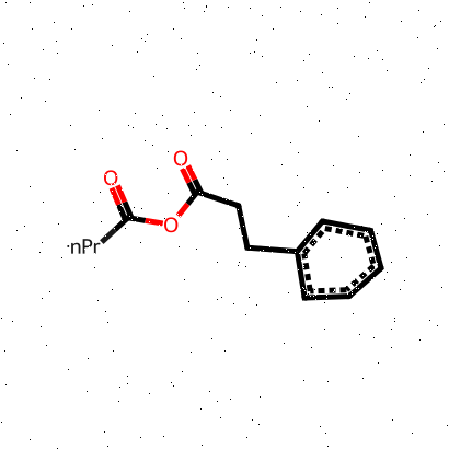 CC[CH]C(=O)OC(=O)CCc1ccccc1